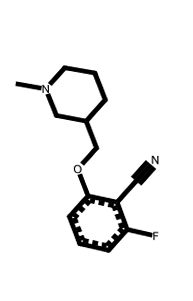 CN1CCCC(COc2cccc(F)c2C#N)C1